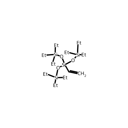 C=C[Si](O[Si](CC)(CC)CC)(O[Si](CC)(CC)CC)O[Si](CC)(CC)CC